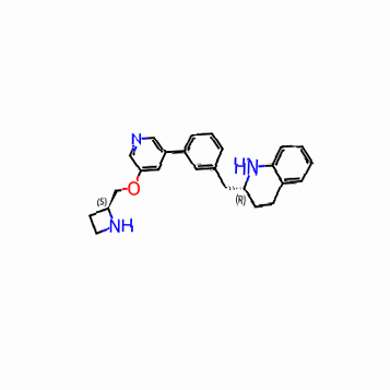 c1cc(C[C@H]2CCc3ccccc3N2)cc(-c2cncc(OC[C@@H]3CCN3)c2)c1